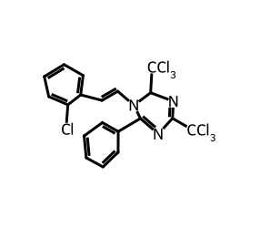 Clc1ccccc1C=CN1C(c2ccccc2)=NC(C(Cl)(Cl)Cl)=NC1C(Cl)(Cl)Cl